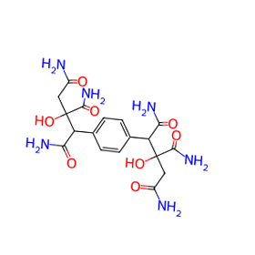 NC(=O)CC(O)(C(N)=O)C(C(N)=O)c1ccc(C(C(N)=O)C(O)(CC(N)=O)C(N)=O)cc1